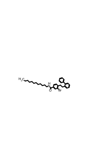 CCCCCCCCCCCCNC(=O)c1ccc([CH]Cc2ccccc2-c2ccccc2)c(Br)c1